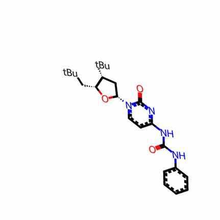 CC(C)(C)C[C@H]1O[C@@H](n2ccc(NC(=O)Nc3ccccc3)nc2=O)C[C@H]1C(C)(C)C